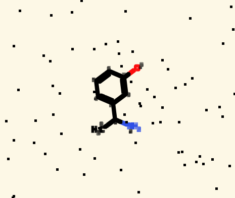 CC(N)c1cccc([O])c1